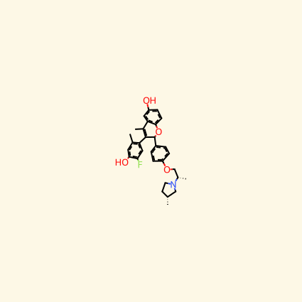 CC1=C(c2cc(F)c(O)cc2C)C(c2ccc(OC[C@H](C)N3CC[C@@H](C)C3)cc2)Oc2ccc(O)cc21